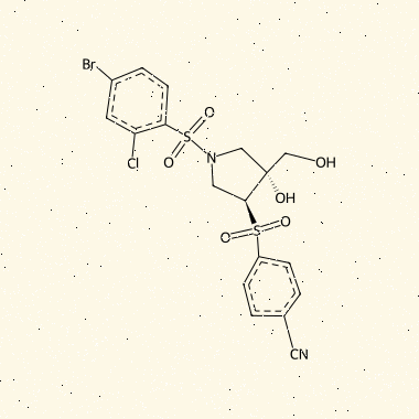 N#Cc1ccc(S(=O)(=O)[C@H]2CN(S(=O)(=O)c3ccc(Br)cc3Cl)C[C@@]2(O)CO)cc1